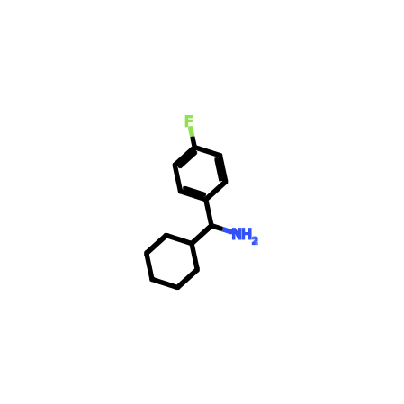 NC(c1ccc(F)cc1)C1CCCCC1